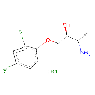 C[C@H](N)[C@H](O)COc1ccc(F)cc1F.Cl